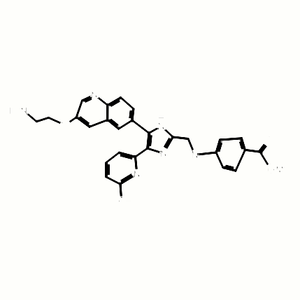 COC(=O)c1ccc(NCc2nc(-c3cccc(C)n3)c(-c3ccc4ncc(OCCN)cc4c3)[nH]2)cc1